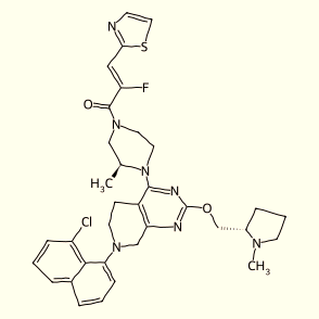 C[C@H]1CN(C(=O)/C(F)=C/c2nccs2)CCN1c1nc(OC[C@@H]2CCCN2C)nc2c1CCN(c1cccc3cccc(Cl)c13)C2